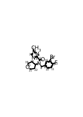 Cn1cnc(C(=O)N(Cc2ccc(F)c(Br)c2)C2CCOCC2)n1